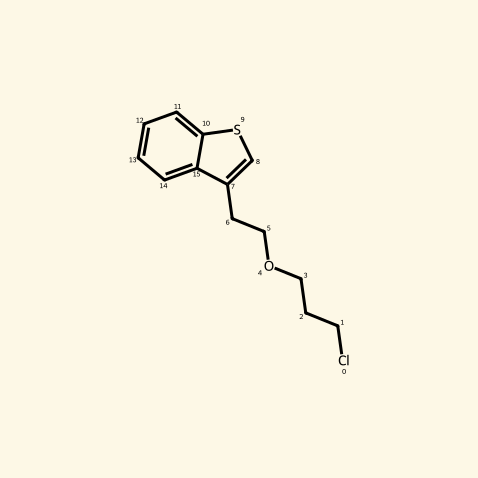 ClCCCOCCc1csc2ccccc12